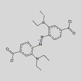 CCN(CC)c1cc(C(=O)Cl)ccc1/N=N/c1ccc(C(=O)Cl)cc1N(CC)CC